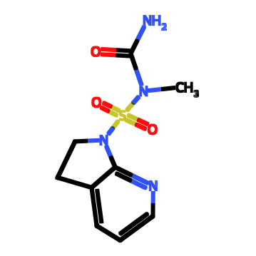 CN(C(N)=O)S(=O)(=O)N1CCc2cccnc21